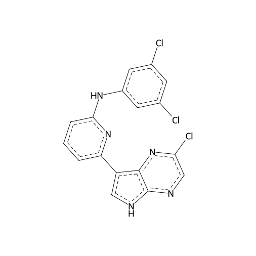 Clc1cc(Cl)cc(Nc2cccc(-c3c[nH]c4ncc(Cl)nc34)n2)c1